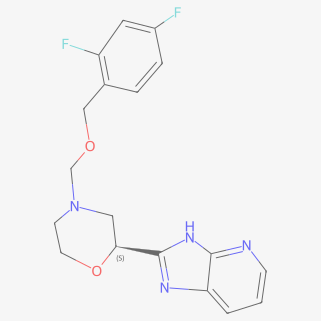 Fc1ccc(COCN2CCO[C@H](c3nc4cccnc4[nH]3)C2)c(F)c1